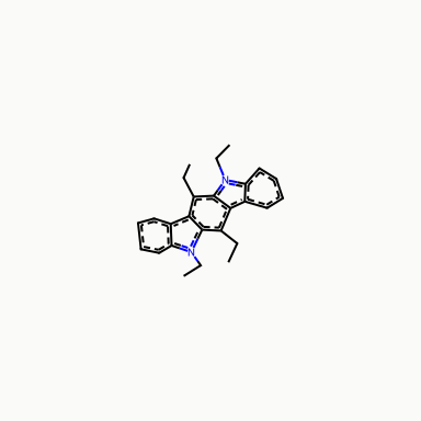 CCc1c2c3ccccc3n(CC)c2c(CC)c2c3ccccc3n(CC)c12